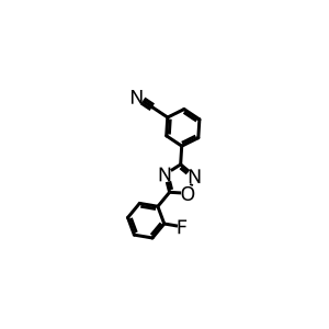 N#Cc1cccc(-c2noc(-c3ccccc3F)n2)c1